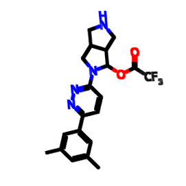 Cc1cc(C)cc(-c2ccc(N3CC4CNCC4C3OC(=O)C(F)(F)F)nn2)c1